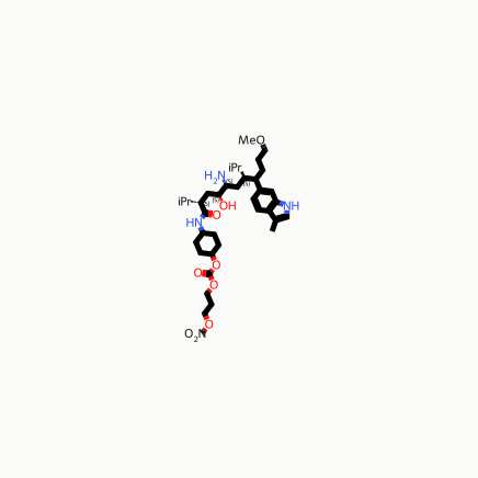 COCCCC(c1ccc2c(C)c[nH]c2c1)[C@@H](C[C@H](N)[C@@H](O)C[C@H](C(=O)NC1CCC(OC(=O)OCCCO[N+](=O)[O-])CC1)C(C)C)C(C)C